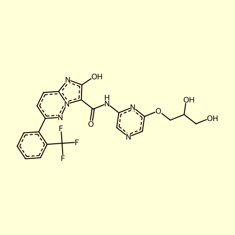 O=C(Nc1cncc(OCC(O)CO)n1)c1c(O)nc2ccc(-c3ccccc3C(F)(F)F)nn12